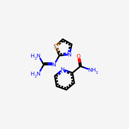 NC(=O)c1ccccn1.NC(N)=Nc1nccs1